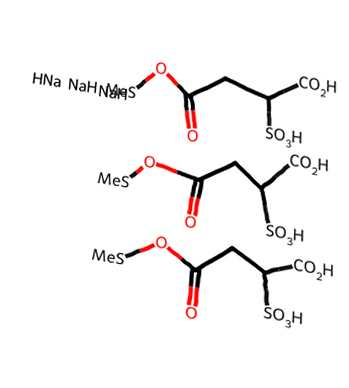 CSOC(=O)CC(C(=O)O)S(=O)(=O)O.CSOC(=O)CC(C(=O)O)S(=O)(=O)O.CSOC(=O)CC(C(=O)O)S(=O)(=O)O.[NaH].[NaH].[NaH]